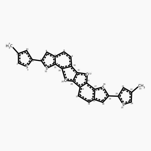 Cc1csc(-c2cc3ccc4c5oc6c(ccc7cc(-c8cc(C)cs8)sc76)c5oc4c3s2)c1